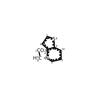 CC(=O)O.c1cnc2ccsc2c1